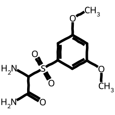 COc1cc(OC)cc(S(=O)(=O)C(N)C(N)=O)c1